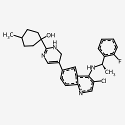 CC1CCC(O)(C2=NC=C(c3ccc4ncc(Cl)c(N[C@H](C)c5ccccc5F)c4c3)CN2)CC1